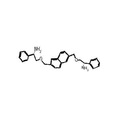 N[C@H](COCc1ccc2cc(COC[C@@H](N)c3ccccc3)ccc2c1)c1ccccc1